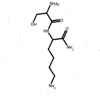 CC(=O)NC(CO)C(=O)NC(CCCCN)C(N)=O